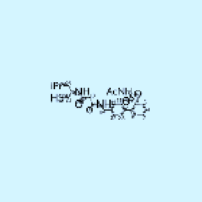 CC(=O)NS(=O)(=O)c1ccccc1-c1ccc(CNC(=O)CC(=O)N[C@@H](CS)CC(C)C)cc1